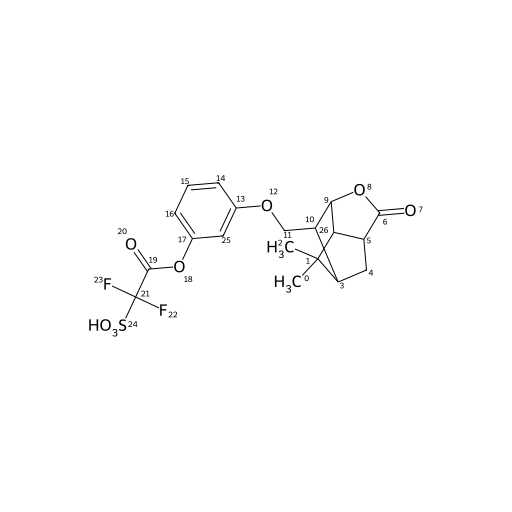 CC1(C)C2CC3C(=O)OC(C2COc2cccc(OC(=O)C(F)(F)S(=O)(=O)O)c2)C31